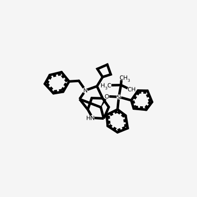 CC(C)(C)[Si](O[C@H]1C2CC3CC(N2)C1N(Cc1ccccc1)C3C1CCC1)(c1ccccc1)c1ccccc1